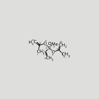 C=C[Si](OC)(OC(=C)C)OC(=C)C